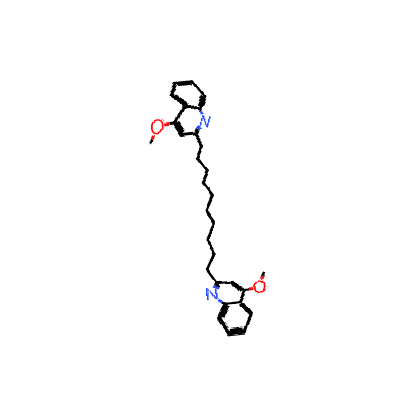 COc1cc(CCCCCCCCCCc2cc(OC)c3ccccc3n2)nc2ccccc12